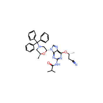 [CH2][C@H]1CN(C(c2ccccc2)(c2ccccc2)c2ccccc2)C[C@H](n2cnc3c(O[C@H](C)CC#N)nc(NC(=O)C(C)C)nc32)O1